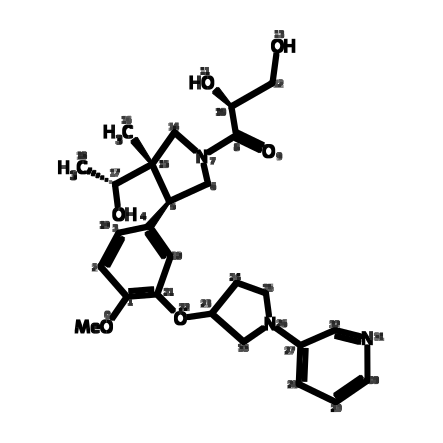 COc1ccc([C@@H]2CN(C(=O)[C@@H](O)CO)C[C@@]2(C)[C@@H](C)O)cc1OC1CCN(c2cccnc2)C1